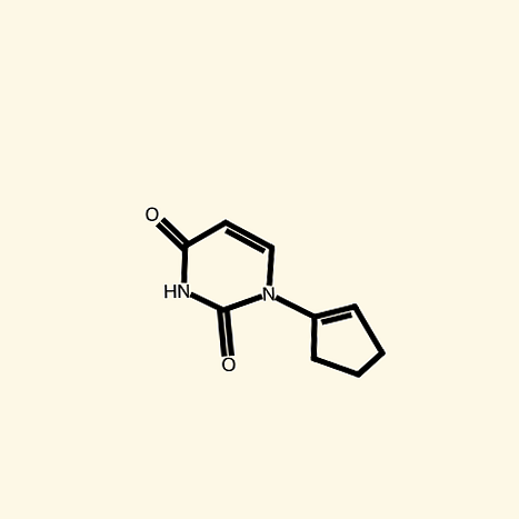 O=c1ccn(C2=CCCC2)c(=O)[nH]1